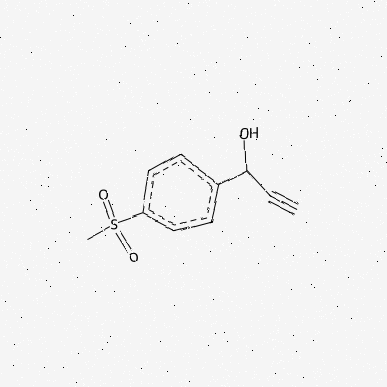 C#CC(O)c1ccc(S(C)(=O)=O)cc1